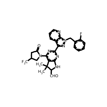 CC1(C)c2c(nc(-c3nn(Cc4ccccc4F)c4ncccc34)nc2N2CC(C(F)(F)F)CC2=O)NC1C=O